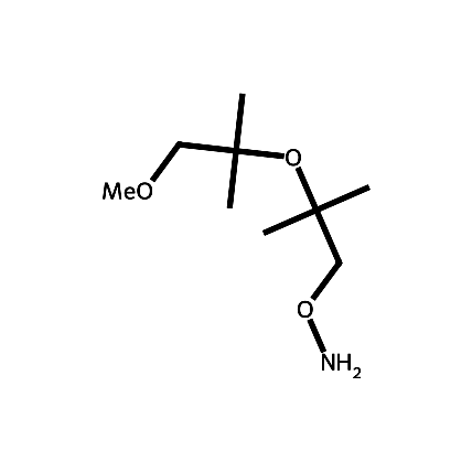 COCC(C)(C)OC(C)(C)CON